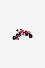 CC(OC(=O)C1CCn2c(C(=O)c3ccccc3)ccc21)OC(=O)C1CCn2c(C(=O)c3ccccc3)ccc21